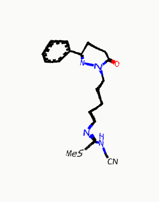 CSC(=NCCCCCN1N=C(c2ccccc2)CCC1=O)NC#N